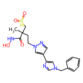 CC(CCn1cc(-c2cn(Cc3ccccc3)cn2)cn1)(C[SH](=O)=O)C(=O)NO